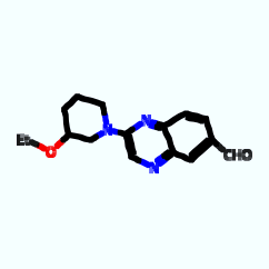 CCOC1CCCN(c2cnc3cc(C=O)ccc3n2)C1